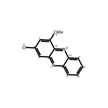 COc1cc(Cl)cc2nc3ccccc3nc12